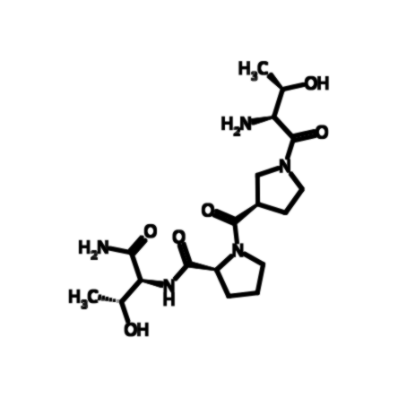 C[C@@H](O)[C@H](N)C(=O)N1CC[C@@H](C(=O)N2CCC[C@H]2C(=O)N[C@H](C(N)=O)[C@@H](C)O)C1